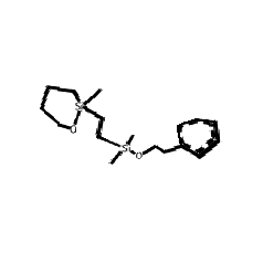 C[Si](C)(CC[Si]1(C)CCCCO1)OCCc1ccccc1